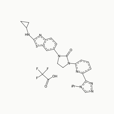 CC(C)n1cnnc1-c1cccc(N2CCN(c3ccc4nc(NC5CC5)sc4c3)C2=O)n1.O=C(O)C(F)(F)F